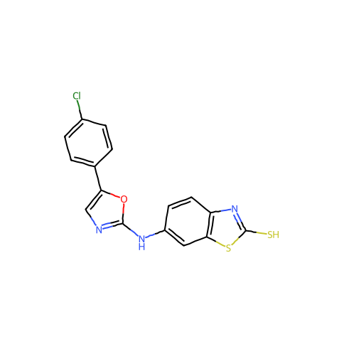 Sc1nc2ccc(Nc3ncc(-c4ccc(Cl)cc4)o3)cc2s1